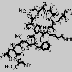 CC(C)C[C@H](NC(=O)[C@H](CC(N)=O)NC(=O)[C@@H](NC(=O)[C@H](Cc1ccccc1)NC(=O)[C@@H]1CCCN1C(=O)[C@H](CCCCN)NC(=O)[C@H](CCC(N)=O)NC(=O)[C@H](C)NC(=O)[C@H](CC(=O)O)NC(=O)[C@@H](N)CO)C(C)C)C(=O)O